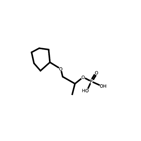 CC(COC1CCCCC1)OP(=O)(O)O